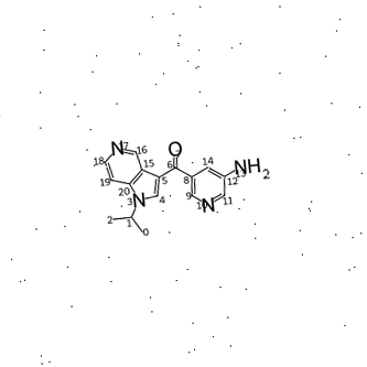 CC(C)n1cc(C(=O)c2cncc(N)c2)c2cnccc21